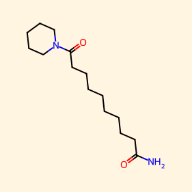 NC(=O)CCCCCCCCC(=O)N1CCCCC1